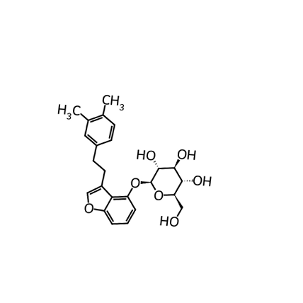 Cc1ccc(CCc2coc3cccc(O[C@@H]4O[C@H](CO)[C@@H](O)[C@H](O)[C@H]4O)c23)cc1C